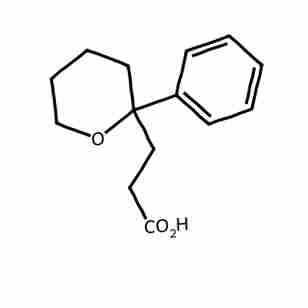 O=C(O)CCC1(c2ccccc2)CCCCO1